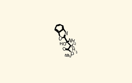 C[C@H](C(=O)OC(C)(C)C)C(N)(O)c1nc2ccccc2o1